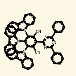 N#Cc1c(-c2nc(-c3ccccc3)nc(-c3ccccc3)n2)c(C#N)c(-n2c3ccccc3c3ccccc32)c(-n2c3ccccc3c3ccccc32)c1-n1c2ccccc2c2ccccc21